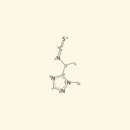 CC(N=C=S)c1ncnn1C